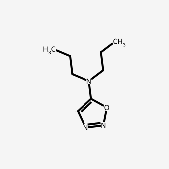 CCCN(CCC)c1[c]nno1